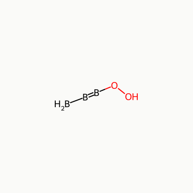 BB=BOO